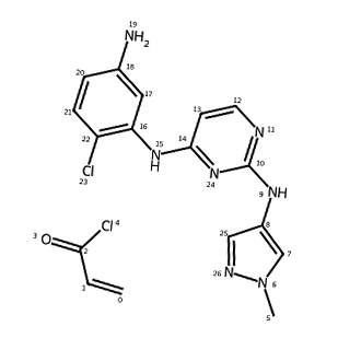 C=CC(=O)Cl.Cn1cc(Nc2nccc(Nc3cc(N)ccc3Cl)n2)cn1